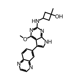 COc1nc(NC2CC(C)(O)C2)nc2[nH]cc(-c3ccc4nccnc4c3)c12